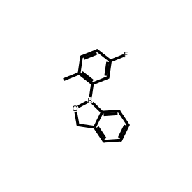 Cc1ccc(F)cc1B1OCc2ccccc21